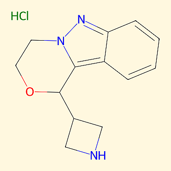 Cl.c1ccc2c3n(nc2c1)CCOC3C1CNC1